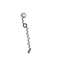 COC(=O)CCCc1ccc(OCCOCCOCCOCCN=[N+]=[N-])cc1